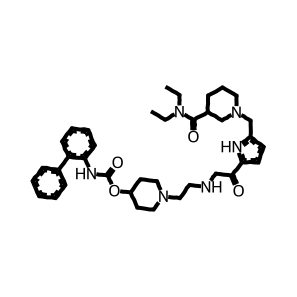 CCN(CC)C(=O)C1CCCN(Cc2ccc(C(=O)CNCCN3CCC(OC(=O)Nc4ccccc4-c4ccccc4)CC3)[nH]2)C1